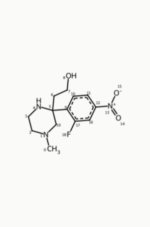 CN1CCNC(CCO)(c2ccc([N+](=O)[O-])cc2F)C1